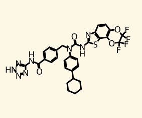 O=C(Nc1nn[nH]n1)c1ccc(CN(C(=O)Nc2nc3ccc4c(c3s2)OC(F)(F)C(F)(F)O4)c2ccc(C3CCCCC3)cc2)cc1